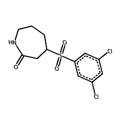 O=C1CC(S(=O)(=O)c2cc(Cl)cc(Cl)c2)CCCN1